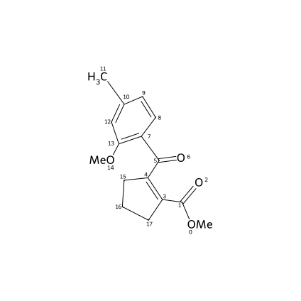 COC(=O)C1=C(C(=O)c2ccc(C)cc2OC)CCC1